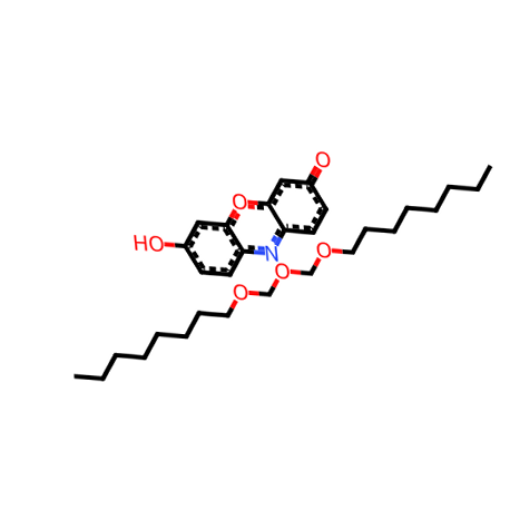 CCCCCCCCOCOCOCCCCCCCC.O=c1ccc2nc3ccc(O)cc3oc-2c1